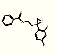 O=C(OCC[C@@]1(c2ccc(F)cc2F)CO1)c1ccccc1